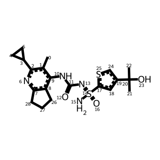 Cc1c(C2CC2)nc2c(c1NC(=O)N=S(N)(=O)c1cc(C(C)(C)O)cs1)CCC2